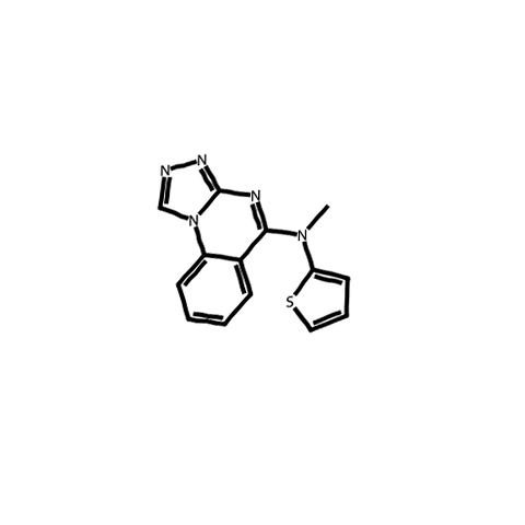 CN(c1cccs1)c1nc2nncn2c2ccccc12